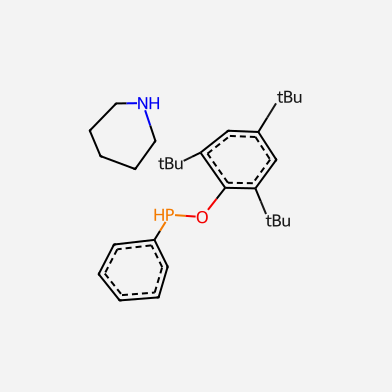 C1CCNCC1.CC(C)(C)c1cc(C(C)(C)C)c(OPc2ccccc2)c(C(C)(C)C)c1